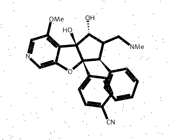 CNCC1[C@@H](O)[C@@]2(O)c3c(OC)cncc3O[C@@]2(c2ccc(C#N)cc2)[C@@H]1c1ccccc1